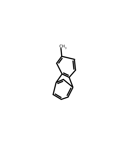 Cc1[c]cc2c(c1)-c1cccc-2c1